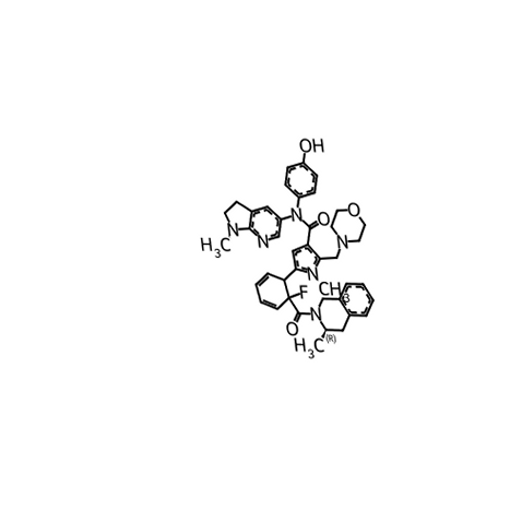 C[C@@H]1Cc2ccccc2CN1C(=O)C1(F)C=CC=CC1c1cc(C(=O)N(c2ccc(O)cc2)c2cnc3c(c2)CCN3C)c(CN2CCOCC2)n1C